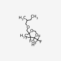 CCC(C)COCC1(C)OCOC(O)(C(F)(F)F)C1(F)F